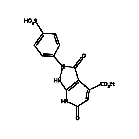 CCOC(=O)c1cc(=O)[nH]c2[nH]n(-c3ccc(S(=O)(=O)O)cc3)c(=O)c12